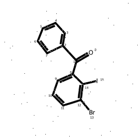 O=C(c1ccccc1)c1cccc(Br)c1I